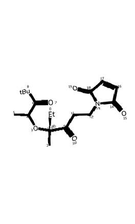 CC[C@@](C)(OC(C)C(=O)C(C)(C)C)C(=O)CCN1C(=O)C=CC1=O